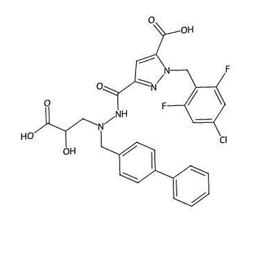 O=C(NN(Cc1ccc(-c2ccccc2)cc1)CC(O)C(=O)O)c1cc(C(=O)O)n(Cc2c(F)cc(Cl)cc2F)n1